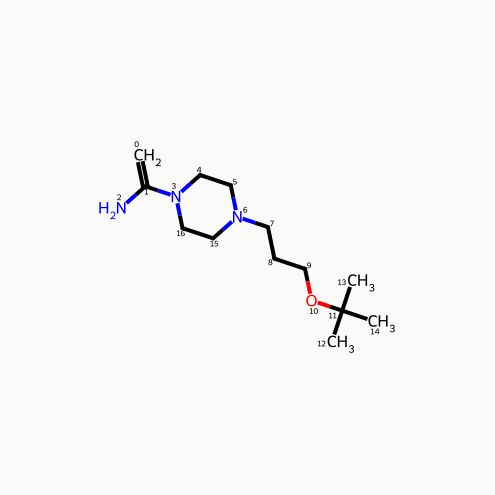 C=C(N)N1CCN(CCCOC(C)(C)C)CC1